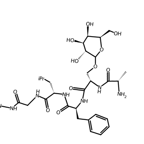 CC(C)C[C@H](NC(=O)[C@H](Cc1ccccc1)NC(=O)[C@H](COC1O[C@H](CO)[C@H](O)[C@H](O)[C@H]1O)NC(=O)[C@H](C)N)C(=O)NCC(=O)NN